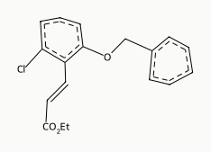 CCOC(=O)/C=C/c1c(Cl)cccc1OCc1ccccc1